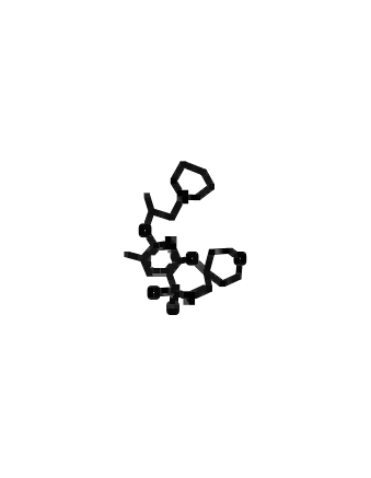 Cc1cc2c(nc1OC(C)CN1CCCCC1)OC1(C=NS2(=O)=O)CCOCC1